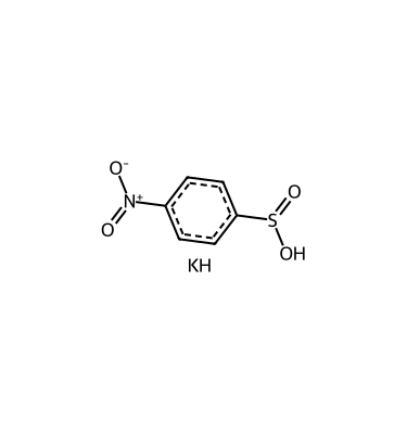 O=[N+]([O-])c1ccc(S(=O)O)cc1.[KH]